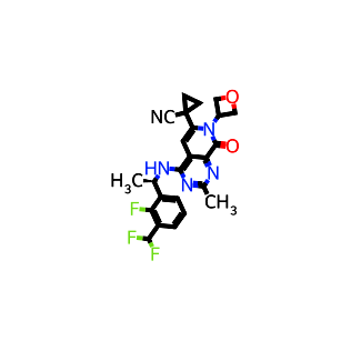 Cc1nc(N[C@H](C)c2cccc(C(F)F)c2F)c2cc(C3(C#N)CC3)n(C3COC3)c(=O)c2n1